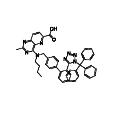 CCCCN(Cc1ccc(-c2ccccc2-c2nnnn2C(c2ccccc2)(c2ccccc2)c2ccccc2)cc1)c1nc(C)nc2ccc(C(=O)O)nc12